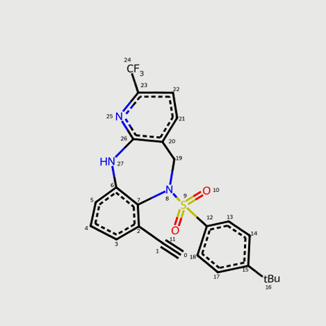 C#Cc1cccc2c1N(S(=O)(=O)c1ccc(C(C)(C)C)cc1)Cc1ccc(C(F)(F)F)nc1N2